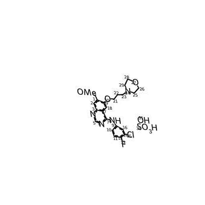 COc1cc2ncnc(Nc3ccc(F)c(Cl)c3)c2cc1OCCCN1CCOCC1.O=S(=O)(O)O